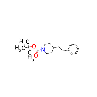 CC(C)(C)OC(=O)N1CCC(CCc2ccccc2)CC1